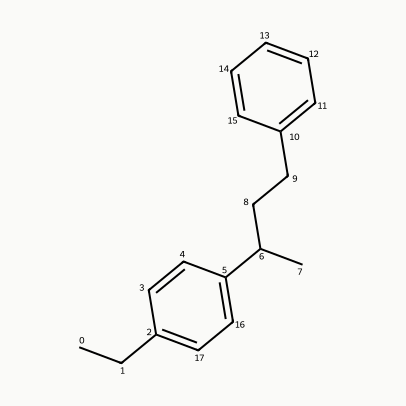 CCc1ccc(C(C)CCc2ccccc2)cc1